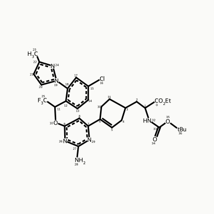 CCOC(=O)C(CC1CC=C(c2cc(OC(c3ccc(Cl)cc3-n3ccc(C)n3)C(F)(F)F)nc(N)n2)CC1)NC(=O)OC(C)(C)C